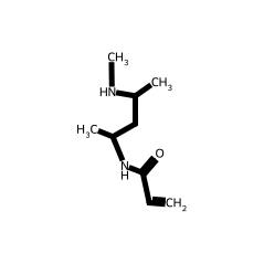 C=CC(=O)NC(C)CC(C)NC